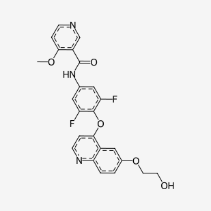 COc1ccncc1C(=O)Nc1cc(F)c(Oc2ccnc3ccc(OCCO)cc23)c(F)c1